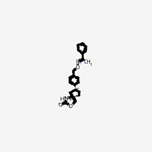 C/C(=N\OCc1ccc([C@@H]2CC[C@]3(COC(=O)N3)C2)cc1)c1ccccc1